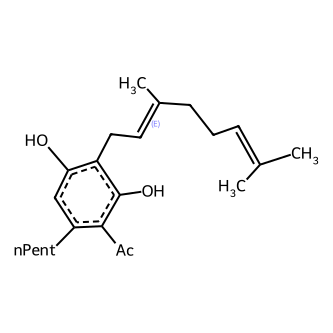 CCCCCc1cc(O)c(C/C=C(\C)CCC=C(C)C)c(O)c1C(C)=O